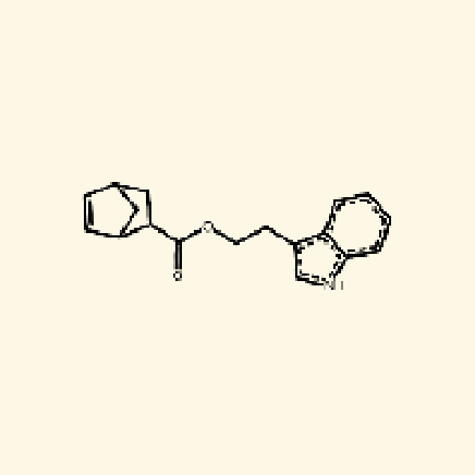 O=C(OCCc1c[nH]c2ccccc12)C1CC2C=CC1C2